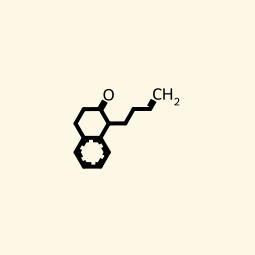 C=CCCC1C(=O)CCc2ccccc21